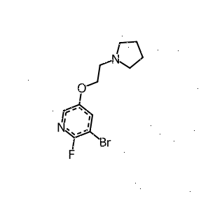 Fc1ncc(OCCN2CCCC2)cc1Br